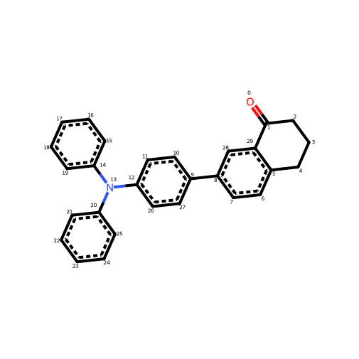 O=C1CCCc2ccc(-c3ccc(N(c4ccccc4)c4ccccc4)cc3)cc21